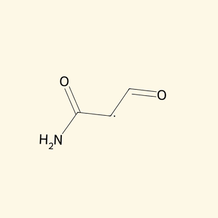 NC(=O)[CH]C=O